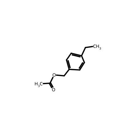 CCc1ccc(COC(C)=O)cc1